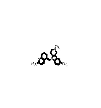 Cc1ccc2c(c1)c1c(n2/C=C2\CCCc3nc(C)ccc32)CCN(C)C1